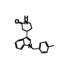 Cc1ccc(Cn2cc(C3CCNC(=O)C3)c3ccccc32)cc1